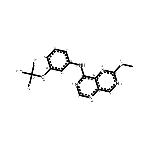 CSc1ncc2ncnc(Nc3cccc(OC(F)(F)F)c3)c2n1